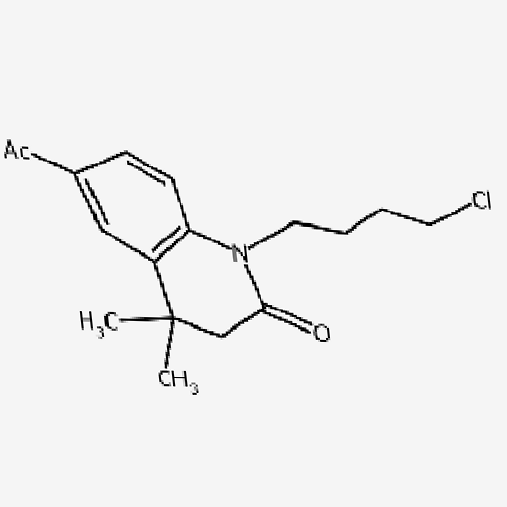 CC(=O)c1ccc2c(c1)C(C)(C)CC(=O)N2CCCCCl